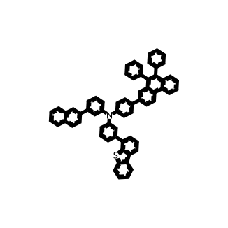 c1ccc(-c2c(-c3ccccc3)c3cc(-c4ccc(N(c5cccc(-c6ccc7ccccc7c6)c5)c5cccc(-c6cccc7c6sc6ccccc67)c5)cc4)ccc3c3ccccc23)cc1